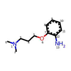 CN(C)CCCOc1ccccc1N